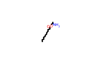 CCCCCCCCCCCC(=O)OCC(C)N